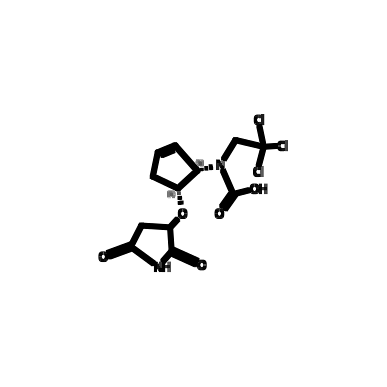 O=C1CC(O[C@@H]2CC=C[C@@H]2N(CC(Cl)(Cl)Cl)C(=O)O)C(=O)N1